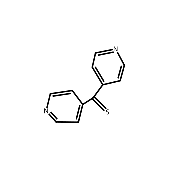 S=C(c1ccncc1)c1ccncc1